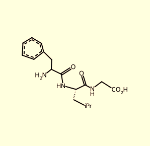 CC(C)C[C@H](NC(=O)C(N)Cc1ccccc1)C(=O)NCC(=O)O